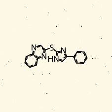 c1ccc(-c2c[nH]c(Sc3cnc4ccccc4n3)n2)cc1